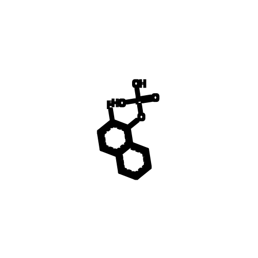 O=P(O)(O)Oc1c(F)ccc2ccccc12